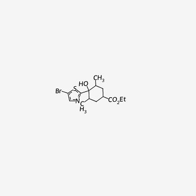 CCOC(=O)C1CC(C)C(O)(c2ncc(Br)s2)C(C)C1